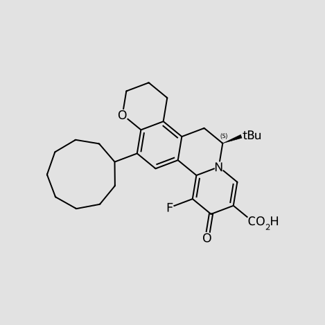 CC(C)(C)[C@@H]1Cc2c(cc(C3CCCCCCCC3)c3c2CCCO3)-c2c(F)c(=O)c(C(=O)O)cn21